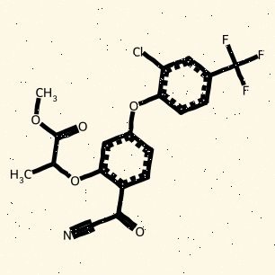 COC(=O)C(C)Oc1cc(Oc2ccc(C(F)(F)F)cc2Cl)ccc1C(=O)C#N